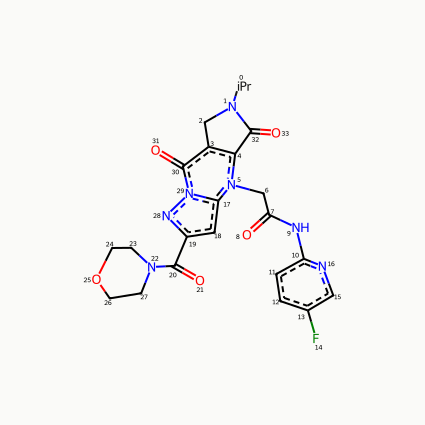 CC(C)N1Cc2c(n(CC(=O)Nc3ccc(F)cn3)c3cc(C(=O)N4CCOCC4)nn3c2=O)C1=O